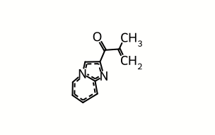 C=C(C)C(=O)c1cn2ccccc2n1